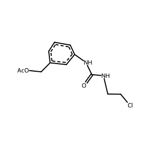 CC(=O)OCc1cccc(NC(=O)NCCCl)c1